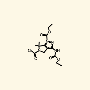 CCOC(=O)Nc1nn(C(=O)OCC)c2c1CN(C(=O)Cl)C2(C)C